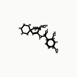 CNC1(C=C(Cl)OC(=O)c2ccc(Cl)cc2Cl)CCCCC1.Cl